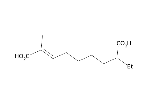 CCC(CCCCC=C(C)C(=O)O)C(=O)O